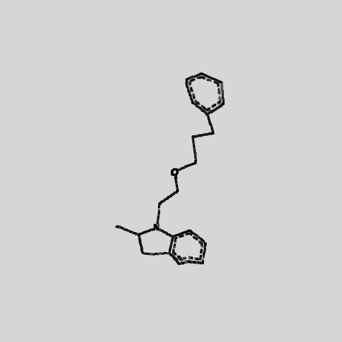 CC1Cc2ccccc2N1CCOCCCc1ccccc1